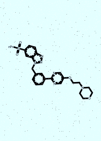 CCCS(=O)(=O)c1ccc2nnn(Cc3cccc(-c4ncc(OCCN5CCOCC5)cn4)c3)c2c1